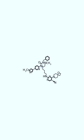 CCC/C(CCCCNc1ncc(C#N)c(N2CCC3(CCO3)CC2)n1)=[N+](\C(=O)NCc1ccccc1)c1ccc(-c2cnn(C)c2)cn1